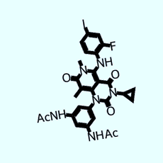 CC(=O)Nc1cc(NC(C)=O)cc(-n2c(=O)n(C3CC3)c(=O)c3c(Nc4ccc(I)cc4F)n(C)c(=O)c(C)c32)c1